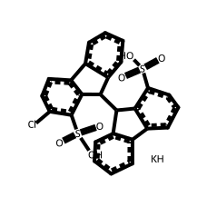 O=S(=O)(O)c1cccc2c1C(C1c3ccccc3-c3ccc(Cl)c(S(=O)(=O)O)c31)c1ccccc1-2.[KH]